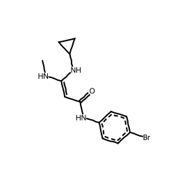 CN/C(=C/C(=O)Nc1ccc(Br)cc1)NC1CC1